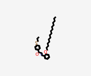 CCCCCCCCCCCCCCCCCOc1ccccc1/C=C/C(=O)c1ccc(SCCC)cc1